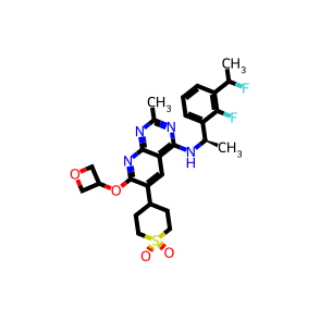 Cc1nc(N[C@H](C)c2cccc(C(C)F)c2F)c2cc(C3CCS(=O)(=O)CC3)c(OC3COC3)nc2n1